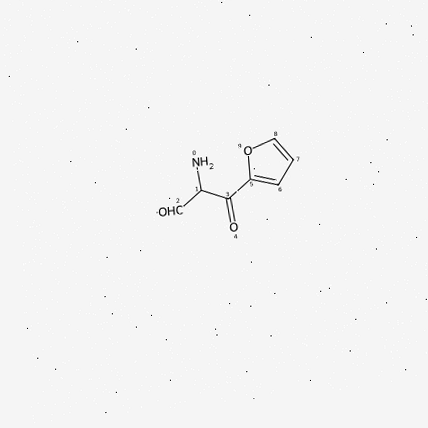 NC([C]=O)C(=O)c1ccco1